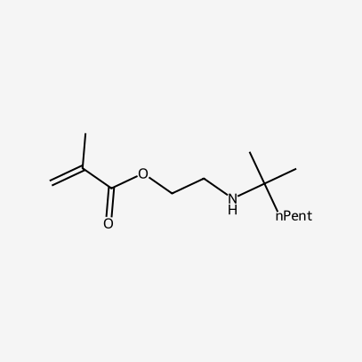 C=C(C)C(=O)OCCNC(C)(C)CCCCC